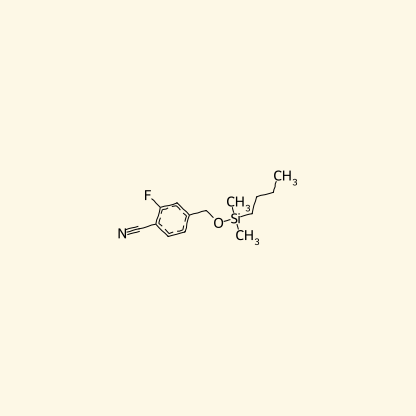 CCCC[Si](C)(C)OCc1ccc(C#N)c(F)c1